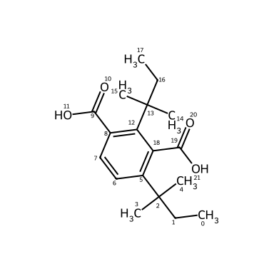 CCC(C)(C)c1ccc(C(=O)O)c(C(C)(C)CC)c1C(=O)O